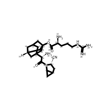 N#C[C@@H]1CC2CC2N1C(=O)[C@@H](N)C12CC3C[C@H](CC(OC(=O)[C@@H](N)CCCNC(=N)N)(C3)C1)C2